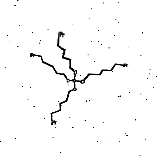 CC(C)CCCCC[O][Zr]([O]CCCCCC(C)C)([O]CCCCCC(C)C)[O]CCCCCC(C)C